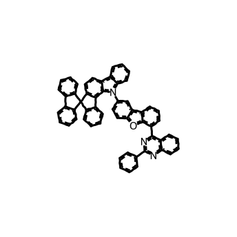 c1ccc(-c2nc(-c3cccc4c3oc3ccc(-n5c6ccccc6c6ccc7c(c65)-c5ccccc5C75c6ccccc6-c6ccccc65)cc34)c3ccccc3n2)cc1